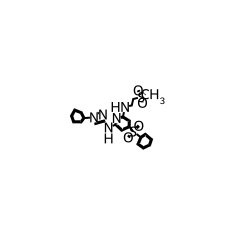 CS(=O)(=O)CCNc1cc(S(=O)(=O)c2ccccc2)cc(Nc2cn(-c3ccccc3)cn2)n1